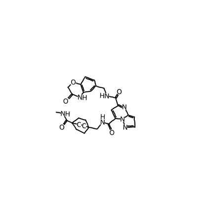 CNC(=O)C12CCC(CNC(=O)c3cc(C(=O)NCc4ccc5c(c4)NC(=O)CO5)nc4ccnn34)(CC1)CC2